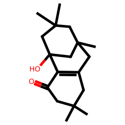 CC1(C)CC(=O)C2=C(C1)CC1(C)CC(C)(C)CC2(O)C1